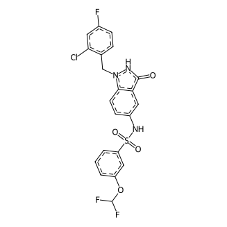 O=c1[nH]n(Cc2ccc(F)cc2Cl)c2ccc(NS(=O)(=O)c3cccc(OC(F)F)c3)cc12